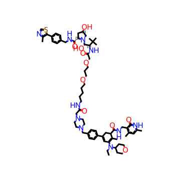 CCN(C1=C(C)C(C(=O)NCc2c(C)cc(C)[nH]c2=O)CC(c2ccc(CN3CCN(CC(=O)NCCCCCOCCCOCC(=O)N[C@H](C(O)N4C[C@H](O)C[C@H]4C(=O)NCc4ccc(-c5scnc5C)cc4)C(C)(C)C)CC3)cc2)=C1)C1CCOCC1